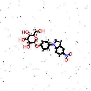 O=[N+]([O-])c1ccc2c(c1)CCN2c1ccc(O[C@H]2OC(CO)[C@@H](O)[C@H](O)C2O)cc1